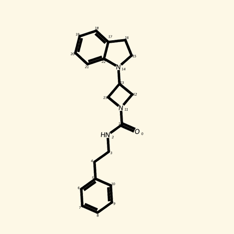 O=C(NCCc1ccccc1)N1CC(N2CCc3ccccc32)C1